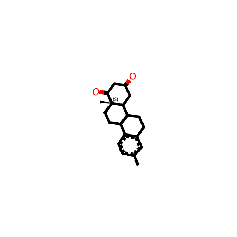 Cc1ccc2c(c1)CCC1C2CC[C@]2(C)C(=O)CC(=O)CC12